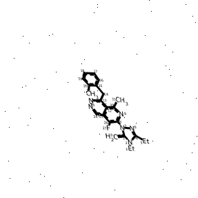 C=C1N(CC)C(CC)=NN1c1nc(C)c2c(Cc3ccccc3C)nncc2c1F